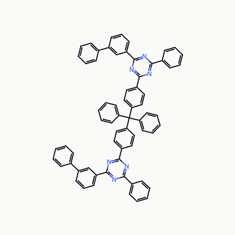 c1ccc(-c2cccc(-c3nc(-c4ccccc4)nc(-c4ccc(C(c5ccccc5)(c5ccccc5)c5ccc(-c6nc(-c7ccccc7)nc(-c7cccc(-c8ccccc8)c7)n6)cc5)cc4)n3)c2)cc1